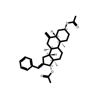 C=C1C[C@H]2C(CC[C@@]3(C)[C@H](OC(C)=O)/C(=C/c4ccccc4)C[C@H]23)[C@]2(C)CC[C@H](OC(C)=O)C[C@@H]12